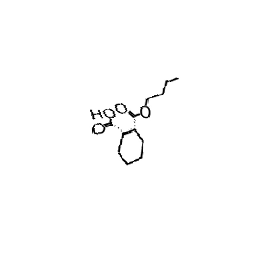 CCCCOC(=O)[C@@H]1CCCC[C@@H]1C(=O)O